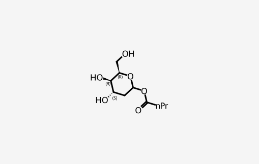 CCCC(=O)OC1C[C@H](O)[C@@H](O)[C@@H](CO)O1